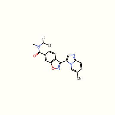 CCC(CC)N(C)C(=O)c1ccc2c(-c3cnc4ccc(C#N)cn34)noc2c1